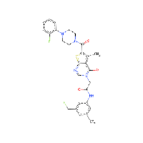 Cc1c(C(=O)N2CCN(c3ccccc3F)CC2)sc2ncn(CC(=O)Nc3cc(CF)cc(C(F)(F)F)c3)c(=O)c12